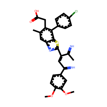 COc1ccc(C(=N)/C=C(\C(C)=N)c2nc3cc(C)c(CC(=O)O)c(-c4ccc(Cl)cc4)c3s2)cc1OC